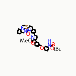 COC(=O)c1nc(-c2ccc3c(c2)N(C(=O)N(Cc2ccccc2)c2nccs2)CCC3)ccc1-c1cccc(COc2cccc(NC(=O)OC(C)(C)C)c2)c1